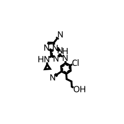 N#Cc1cc(Nc2nc(NC3CC3)c3ncc(C#N)n3n2)c(Cl)cc1CCCO